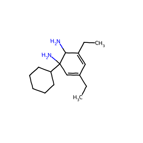 CCC1=CC(N)(C2CCCCC2)C(N)C(CC)=C1